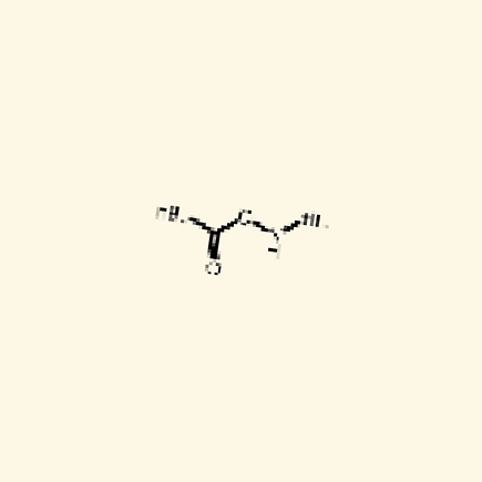 CCCCC(=O)ONC(C)(C)C